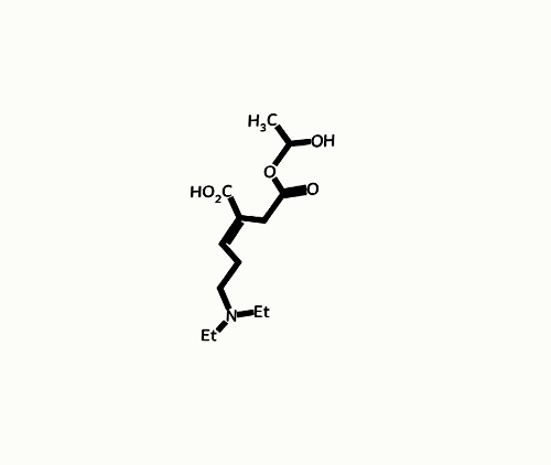 CCN(CC)CCC=C(CC(=O)OC(C)O)C(=O)O